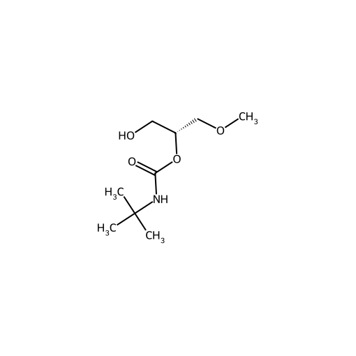 COC[C@@H](CO)OC(=O)NC(C)(C)C